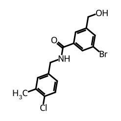 Cc1cc(CNC(=O)c2cc(Br)cc(CO)c2)ccc1Cl